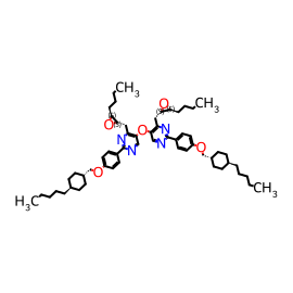 CCCCC[C@H]1CC[C@H](COc2ccc(-c3ncc(Oc4cnc(-c5ccc(OC[C@H]6CC[C@H](CCCCC)CC6)cc5)nc4C[C@@H]4O[C@H]4CCCC)c(C[C@@H]4O[C@H]4CCCC)n3)cc2)CC1